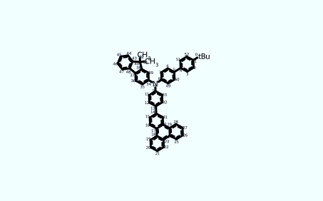 CC(C)(C)c1ccc(-c2ccc(N(c3ccc(-c4ccc5c6ccccc6c6ccccc6c5c4)cc3)c3ccc4c(c3)C(C)(C)c3ccccc3-4)cc2)cc1